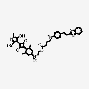 CC[N+](CCOC(=O)CCCN(C)c1ccc(/C=C/c2nc3ccccc3s2)cc1)=C1C=C(C)C(=C2C(=O)C(c3c(C(C)(C)C)nn(C)c3O)=C2[O-])C(C)=C1